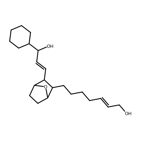 OCC=CCCCCC1C2CCC(O2)C1C=CC(O)C1CCCCC1